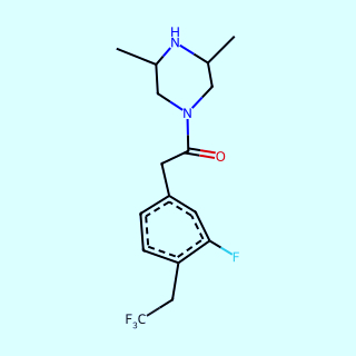 CC1CN(C(=O)Cc2ccc(CC(F)(F)F)c(F)c2)CC(C)N1